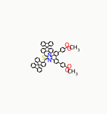 COC(=O)c1ccc(-c2ccc3c(c2)c2cc(-c4ccc(C(=O)OC)cc4)ccc2c2nc4c(-c5cccc6c5-c5ccccc5C65c6ccccc6-c6ccccc65)sc(-c5cccc6c5-c5ccccc5C65c6ccccc6-c6ccccc65)c4nc32)cc1